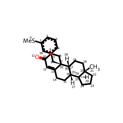 CSc1cccc(C[C@]23CCC(=O)C=C2CC[C@@H]2[C@H]3CC[C@]3(C)CCC[C@@H]23)c1